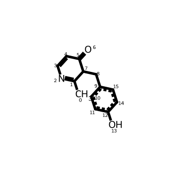 CC1=NC=CC(=O)C1Cc1ccc(O)cc1